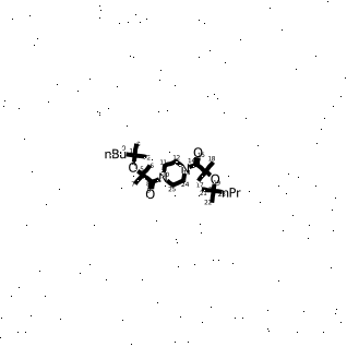 CCCCC(C)(C)OC(C)(C)C(=O)N1CCN(C(=O)C(C)(C)OC(C)(C)CCC)CC1